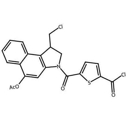 CC(=O)Oc1cc2c(c3ccccc13)C(CCl)CN2C(=O)c1ccc(C(=O)Cl)s1